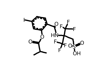 CC(C)C(=O)Oc1cc(I)ccc1C(=O)NC(CS(=O)(=O)O)(C(F)(F)F)C(F)(F)F